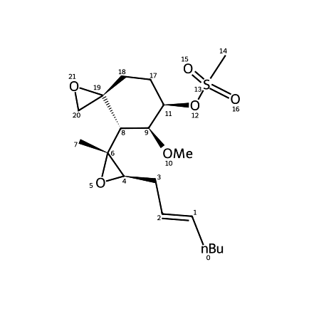 CCCC/C=C/C[C@H]1O[C@]1(C)[C@H]1[C@H](OC)[C@H](OS(C)(=O)=O)CC[C@]12CO2